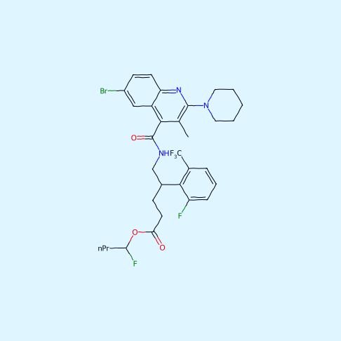 CCCC(F)OC(=O)CCC(CNC(=O)c1c(C)c(N2CCCCC2)nc2ccc(Br)cc12)c1c(F)cccc1C(F)(F)F